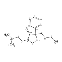 CN(C)CCN1CSC(CCCO)(c2cccnc2)C1=O